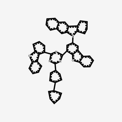 c1ccc(-c2ccc(-c3nc(-c4cc(-n5c6ccccc6c6cc7ccccc7cc65)cc5c4oc4ccccc45)nc(-c4cccc5oc6ccccc6c45)n3)cc2)cc1